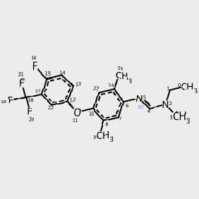 CCN(C)/C=N/c1cc(C)c(Oc2ccc(F)c(C(F)(F)F)c2)cc1C